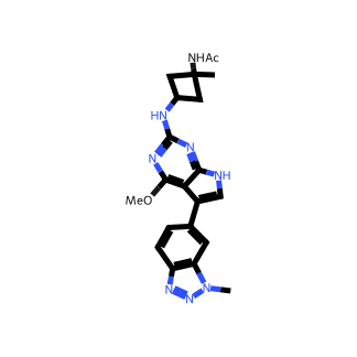 COc1nc(NC2CC(C)(NC(C)=O)C2)nc2[nH]cc(-c3ccc4nnn(C)c4c3)c12